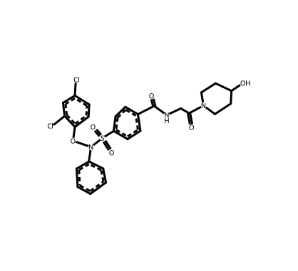 O=C(NCC(=O)N1CCC(O)CC1)c1ccc(S(=O)(=O)N(Oc2ccc(Cl)cc2Cl)c2ccccc2)cc1